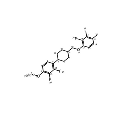 CCCCCCOc1ccc(C2CCC(COc3ccc(C)c(F)c3F)CC2)c(F)c1F